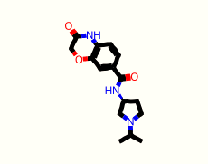 CC(C)N1CC[C@H](NC(=O)c2ccc3c(c2)OCC(=O)N3)C1